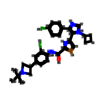 [2H]C([2H])([2H])N1CC(c2ccc(NC(=O)c3nc(-c4c(-c5ccc(F)cc5)ncn4C4CCC4)cs3)c(F)c2)C1